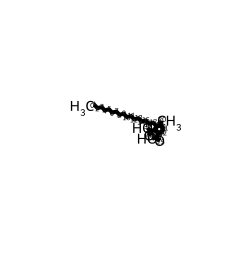 CCCCCCCCCCCCCCCCCCc1c(C)ccc(C(=O)O)c1C(=O)O